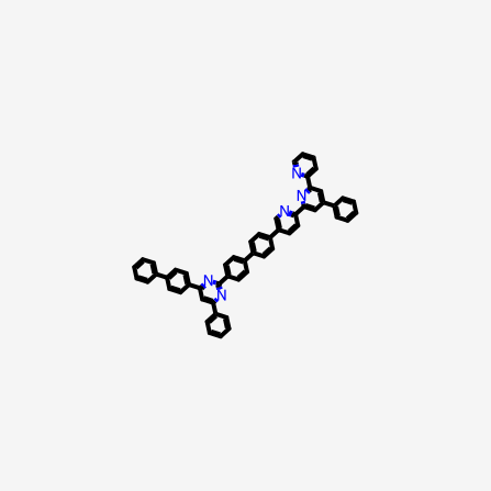 c1ccc(-c2ccc(-c3cc(-c4ccccc4)nc(-c4ccc(-c5ccc(-c6ccc(-c7cc(-c8ccccc8)cc(-c8ccccn8)n7)nc6)cc5)cc4)n3)cc2)cc1